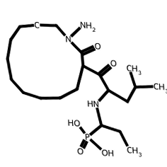 CCC(NC(CC(C)C)C(=O)C1CCCCCCCCCCN(N)C1=O)P(=O)(O)O